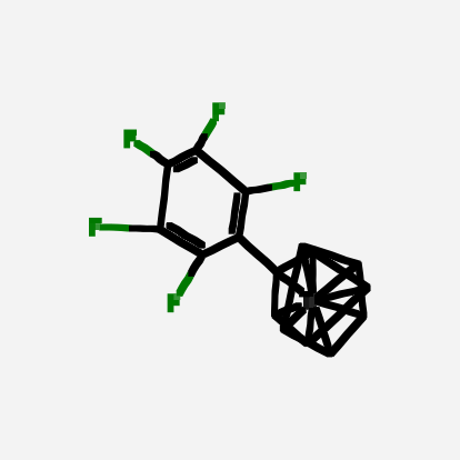 Fc1c(F)c(F)c([C]23[CH]4[CH]5[CH]6[CH]2[Ti]56432789[CH]3[CH]2[CH]7[CH]8[CH]39)c(F)c1F